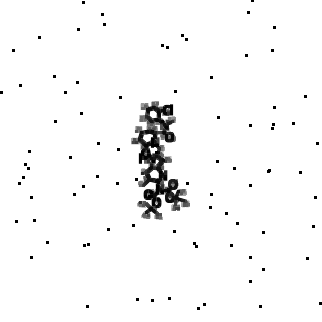 Cc1cc2[nH]c(Cn3c(C(=O)N(C)c4ccccc4Cl)cccc3=O)cc2nc1N(C(=O)OC(C)(C)C)C(=O)OC(C)(C)C